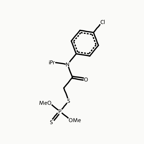 COP(=S)(OC)SCC(=O)N(c1ccc(Cl)cc1)C(C)C